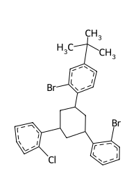 CC(C)(C)c1ccc(C2CC(c3ccccc3Cl)CC(c3ccccc3Br)C2)c(Br)c1